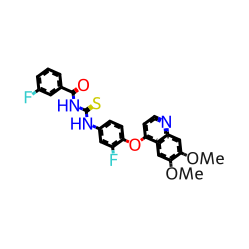 COc1cc2nccc(Oc3ccc(NC(=S)NC(=O)c4cccc(F)c4)cc3F)c2cc1OC